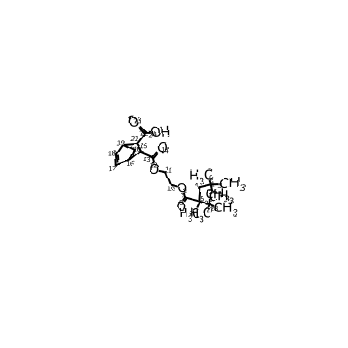 CC(C)(C)CC(C)(C(=O)OCCOC(=O)C1C2C=CC(C2)C1C(=O)O)C(C)(C)C